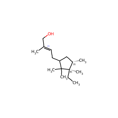 CC[C@]1(C)[C@@H](C)CC(C/C=C(\C)CO)C1(C)C